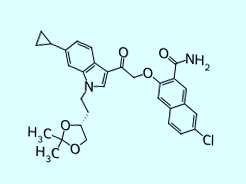 CC1(C)OC[C@@H](CCn2cc(C(=O)COc3cc4ccc(Cl)cc4cc3C(N)=O)c3ccc(C4CC4)cc32)O1